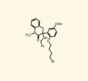 COc1ccc(OCCCCBr)c(C2(NCC(C)=O)Sc3ccccc3N(C)C2=O)c1